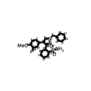 COc1ccc(-c2cn(Cc3ccccc3)nc2-c2ccccc2S(N)(=O)=O)cc1F